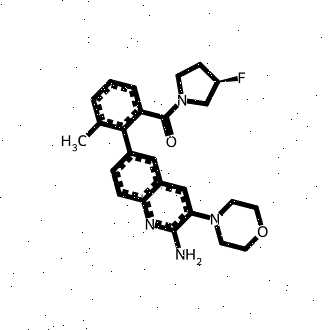 Cc1cccc(C(=O)N2CC[C@@H](F)C2)c1-c1ccc2nc(N)c(N3CCOCC3)cc2c1